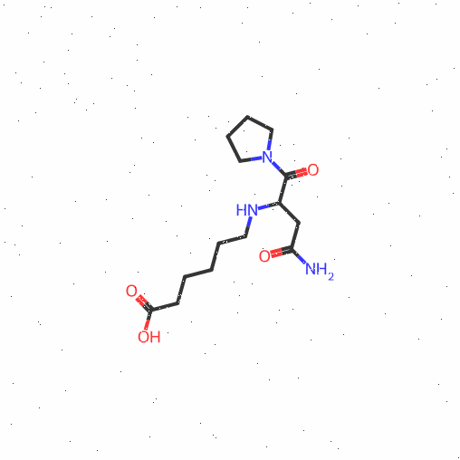 NC(=O)CC(NCCCCCC(=O)O)C(=O)N1CCCC1